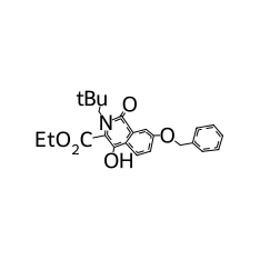 CCOC(=O)c1c(O)c2ccc(OCc3ccccc3)cc2c(=O)n1CC(C)(C)C